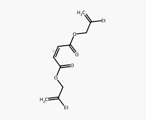 C=C(CC)COC(=O)/C=C\C(=O)OCC(=C)CC